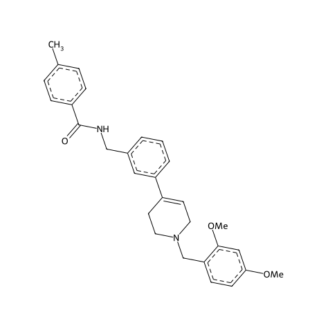 COc1ccc(CN2CC=C(c3cccc(CNC(=O)c4ccc(C)cc4)c3)CC2)c(OC)c1